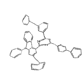 c1ccc(-c2ccc(-c3nc(-c4cccc(-c5ccccc5)c4)nc(-c4cc(-c5ccccc5)cc5c4c4ccccc4n5-c4ccccc4)n3)cc2)cc1